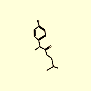 CC(C)CCC(=O)N(C)c1ccc(Br)cc1